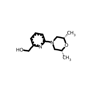 C[C@@H]1CN(c2cccc(CO)n2)C[C@H](C)O1